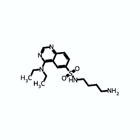 CCN(CC)c1ncnc2ccc(S(=O)(=O)NCCCCN)cc12